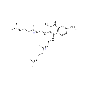 CC(C)=CCC/C(C)=C/COc1c(OC/C=C(\C)CCC=C(C)C)c2ccc(N)cc2[nH]c1=O